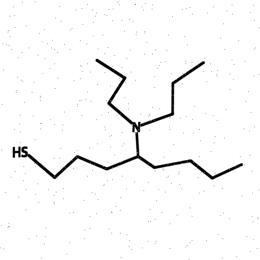 CCCCC(CCCS)N(CCC)CCC